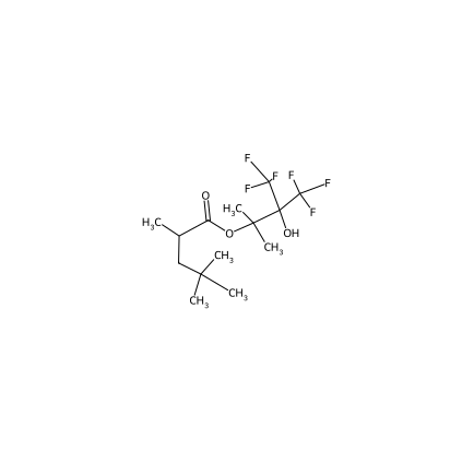 CC(CC(C)(C)C)C(=O)OC(C)(C)C(O)(C(F)(F)F)C(F)(F)F